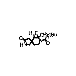 CC(C)(C)OC(=O)N1CCC2(CNC(=O)C2)CC1(C)C